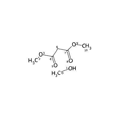 CO.COC(=O)CC(=O)OC